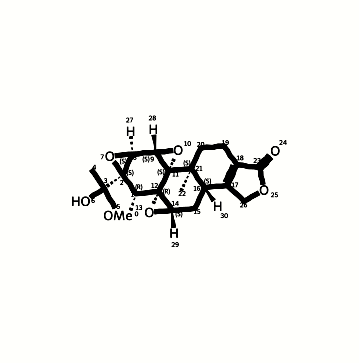 CO[C@@H]1[C@@]2(C(C)(C)O)O[C@H]2[C@@H]2O[C@]23[C@]12O[C@H]2C[C@H]1C2=C(CC[C@@]13C)C(=O)OC2